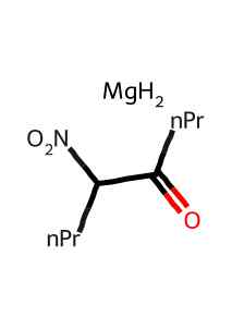 CCCC(=O)C(CCC)[N+](=O)[O-].[MgH2]